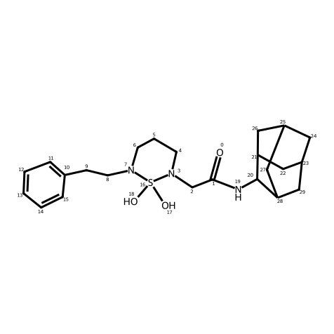 O=C(CN1CCCN(CCc2ccccc2)S1(O)O)NC1C2CC3CC(C2)CC1C3